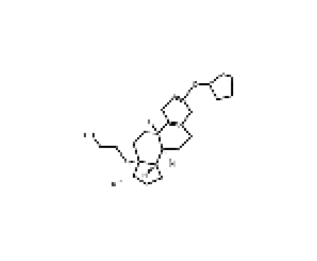 OCCC[C@]12CC[C@@H]3C4=C(CC[C@H]3[C@@H]1CC[C@@H]2O)CC(OC1CCCC1)=CC4